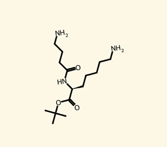 CC(C)(C)OC(=O)[C@H](CCCCCN)NC(=O)CCCN